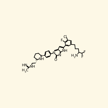 CC(=N)NCC[C@@H]1CCC[C@@H](c2ccc(-n3cc4cc(-c5cc(CCCC(N)C(F)F)cc(Cl)c5F)[nH]c4nc3=O)cc2)N1